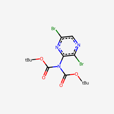 CC(C)(C)OC(=O)N(C(=O)OC(C)(C)C)c1nc(Br)cnc1Br